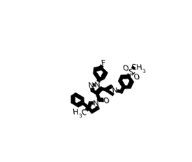 CC1(c2ccccc2)CCN(C(=O)c2cnn(-c3ccc(F)cc3)c2C2CN(Cc3ccc(S(C)(=O)=O)cc3)C2)C1